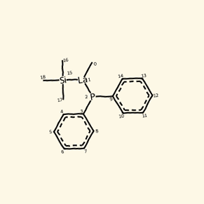 [CH3][La]([P](c1ccccc1)c1ccccc1)[Si](C)(C)C